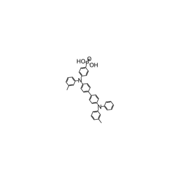 Cc1cccc(N(c2ccccc2)c2ccc(-c3ccc(N(c4ccc(P(=O)(O)O)cc4)c4cccc(C)c4)cc3)cc2)c1